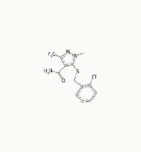 Cn1nc(C(F)(F)F)c(C(N)=O)c1SCc1ccccc1Cl